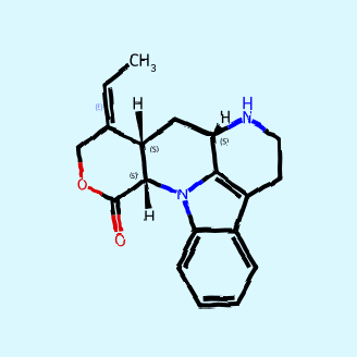 C/C=C1/COC(=O)[C@@H]2[C@H]1C[C@@H]1NCCc3c1n2c1ccccc31